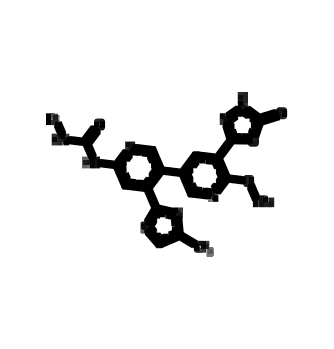 CCCCOc1ncc(-c2cnc(NC(=O)NCC)cc2-c2nc(C(F)(F)F)cs2)cc1-c1n[nH]c(=O)o1